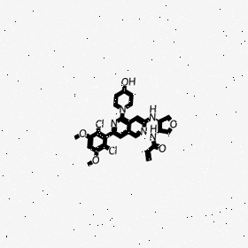 C=CC(=O)N[C@H]1COC[C@H]1Nc1cc2c(N3CCC(O)CC3)nc(-c3c(Cl)c(OC)cc(OC)c3Cl)cc2cn1